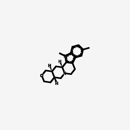 Cc1ccc2c(c1)c1c(n2C)[C@@H]2C[C@@H]3COCC[C@H]3CN2CC1